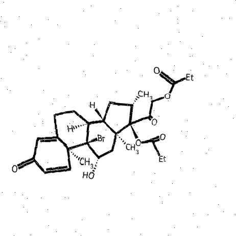 CCC(=O)OCC(=O)[C@@]1(OC(=O)CC)[C@@H](C)C[C@H]2[C@@H]3CCC4=CC(=O)C=C[C@]4(C)[C@@]3(Br)[C@@H](O)C[C@@]21C